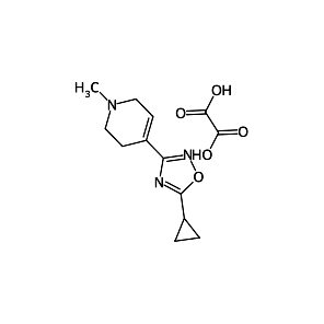 CN1CC=C(c2noc(C3CC3)n2)CC1.O=C(O)C(=O)O